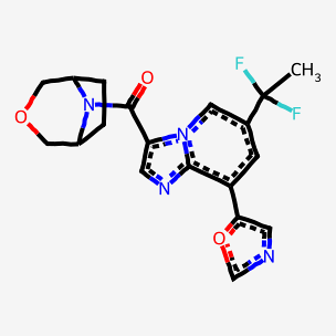 CC(F)(F)c1cc(-c2cnco2)c2ncc(C(=O)N3C4CCC3COC4)n2c1